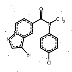 CN(C(=O)c1ccn2ncc(Br)c2c1)c1ccc(Cl)cc1